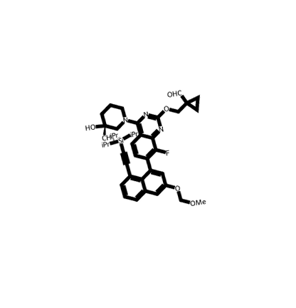 COCOc1cc(-c2ccc3c(N4CCC[C@@](C)(O)C4)nc(OCC4(C=O)CC4)nc3c2F)c2c(C#C[Si](C(C)C)(C(C)C)C(C)C)cccc2c1